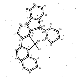 CC1(C)c2c(ccc3ccccc23)-c2ccc3c4ccccc4n(-c4ncccn4)c3c21